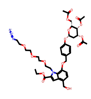 CCOC(=O)c1cc2c(CO)ccc(OCc3ccc(O[C@H]4C[C@@H](OC(C)=O)[C@@H](OC(C)=O)[C@@H](COC(C)=O)O4)cc3)c2n1CCOCCOCCOCCN=[N+]=[N-]